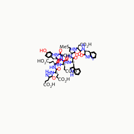 CSCC[C@H](NC(=O)[C@H](Cc1c[nH]c2ccccc12)NC(=O)CNC(=O)[C@H](Cc1ccc(O)cc1)NC(=O)[C@H](C)NC(=O)[C@H](CCC(=O)O)NC(=O)[C@H](CCC(=O)O)NC(=O)[C@H](CCC(=O)O)NC(=O)[C@H](N)CCC(=O)O)C(=O)N[C@@H](CC(=O)O)C(=O)N[C@@H](Cc1ccccc1)C(N)=O